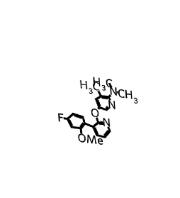 COc1cc(F)ccc1-c1cccnc1Oc1cnc(N(C)C)c(C)c1